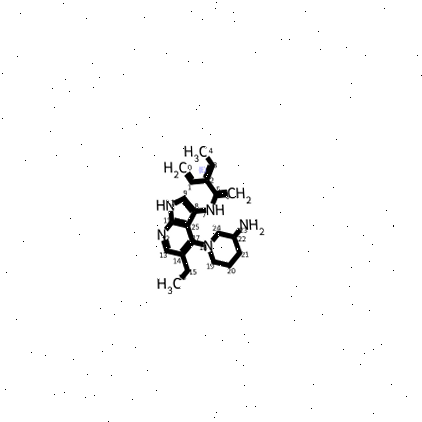 C=C/C(=C\C)C(=C)Nc1c[nH]c2ncc(CC)c(N3CCCC(N)C3)c12